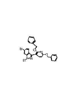 CCn1nc(-c2ccc(OCc3ccccc3)nc2OCc2ccccc2)c2ccc(Br)cc21